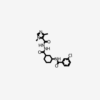 Cc1ncn(C)c1C(=O)NNC(=O)C1CCCC(NC(=O)c2cccc(Cl)c2)C1